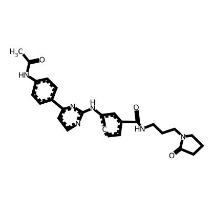 CC(=O)Nc1ccc(-c2ccnc(Nc3cccc(C(=O)NCCCN4CCCC4=O)c3)n2)cc1